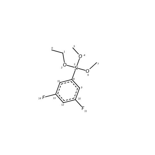 CCO[Si](OC)(OC)c1cc(F)cc(F)c1